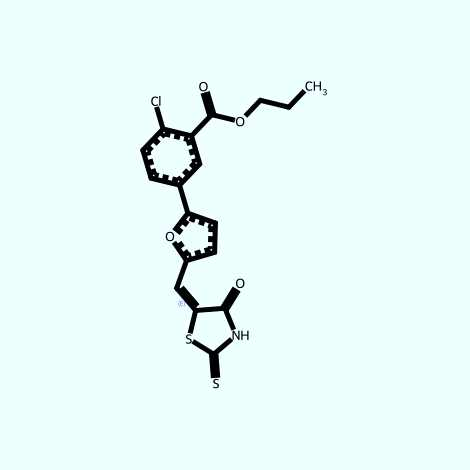 CCCOC(=O)c1cc(-c2ccc(/C=C3/SC(=S)NC3=O)o2)ccc1Cl